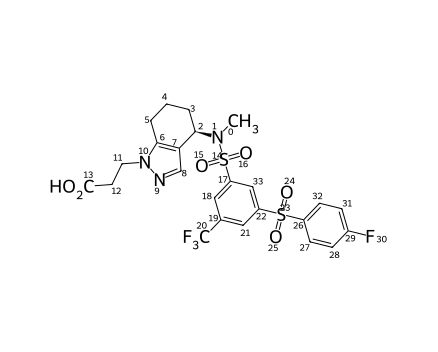 CN([C@@H]1CCCc2c1cnn2CCC(=O)O)S(=O)(=O)c1cc(C(F)(F)F)cc(S(=O)(=O)c2ccc(F)cc2)c1